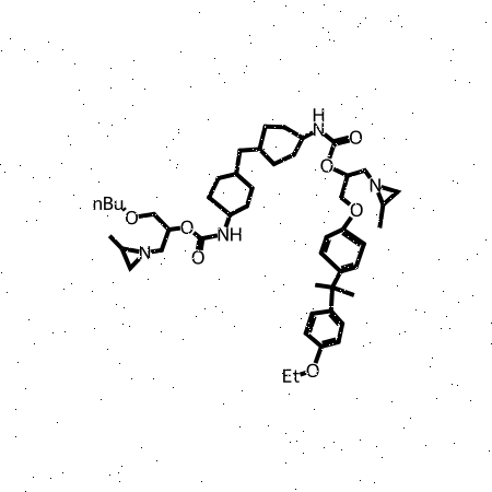 CCCCOCC(CN1CC1C)OC(=O)NC1CCC(CC2CCC(NC(=O)OC(COc3ccc(C(C)(C)c4ccc(OCC)cc4)cc3)CN3CC3C)CC2)CC1